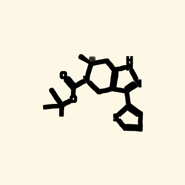 C[C@H]1Cc2[nH]nc(-c3cccs3)c2CN1C(=O)OC(C)(C)C